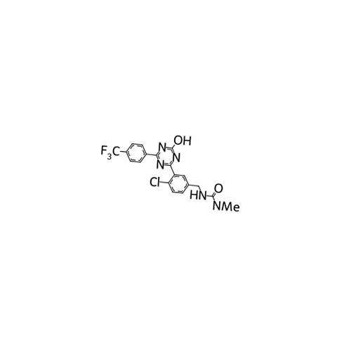 CNC(=O)NCc1ccc(Cl)c(-c2nc(O)nc(-c3ccc(C(F)(F)F)cc3)n2)c1